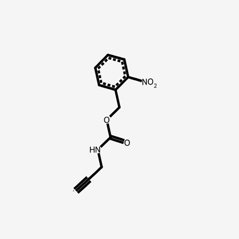 [C]#CCNC(=O)OCc1ccccc1[N+](=O)[O-]